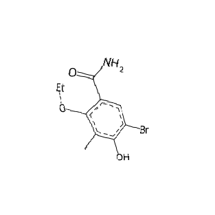 CCOc1c(C(N)=O)cc(Br)c(O)c1C